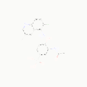 CC(=O)Nc1cc([As](=O)(O)O)ccc1O.Cc1cnc2ccc(Cl)c(N)c2c1